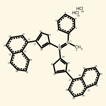 C[Si](c1ccccc1)=[Zr]([C]1=CC(c2cccc3ccccc23)=CC1)[C]1=CC(c2cccc3ccccc23)=CC1.Cl.Cl